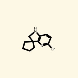 Brc1ccc2c(n1)C1(CCCC1)CN2